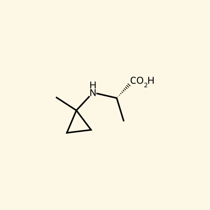 C[C@H](NC1(C)CC1)C(=O)O